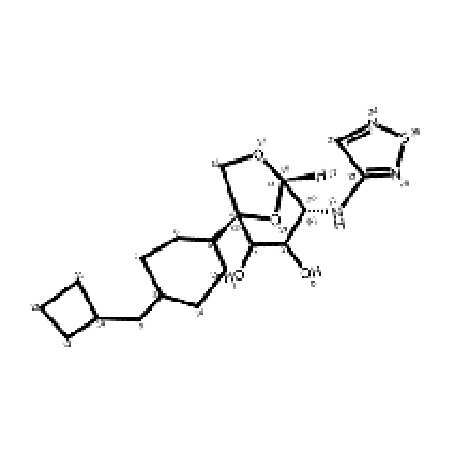 OC1C(O)[C@]2(C3CCC(CC4CCC4)CC3)CO[C@@H](O2)[C@@H]1Nc1cnsn1